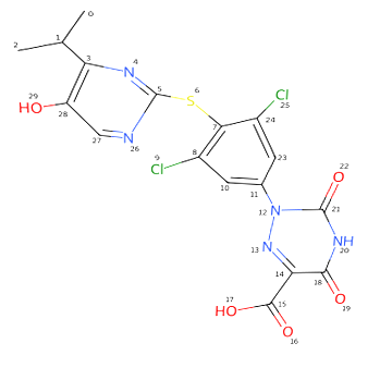 CC(C)c1nc(Sc2c(Cl)cc(-n3nc(C(=O)O)c(=O)[nH]c3=O)cc2Cl)ncc1O